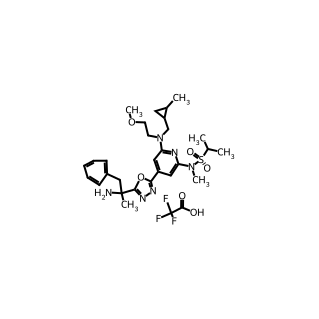 COCCN(CC1CC1C)c1cc(-c2nnc(C(C)(N)Cc3ccccc3)o2)cc(N(C)S(=O)(=O)C(C)C)n1.O=C(O)C(F)(F)F